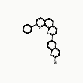 Brc1ccc2cc(-c3ccc4ccc5ccc(-c6ccccc6)nc5c4n3)ccc2n1